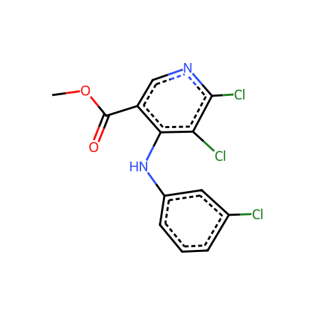 COC(=O)c1cnc(Cl)c(Cl)c1Nc1cccc(Cl)c1